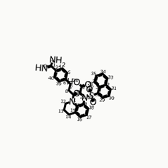 N=C(N)c1ccc(CCC(=O)N2CCCc3cccc(N(CC(=O)O)S(=O)(=O)c4cccc5ccccc45)c32)cc1